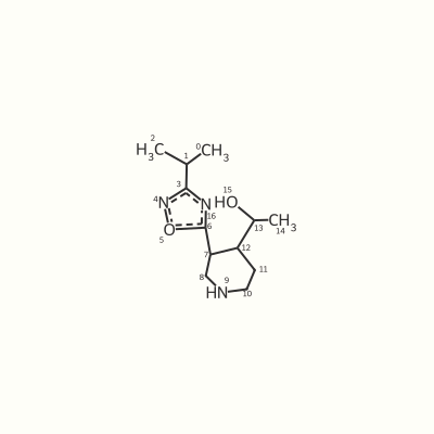 CC(C)c1noc(C2CNCCC2C(C)O)n1